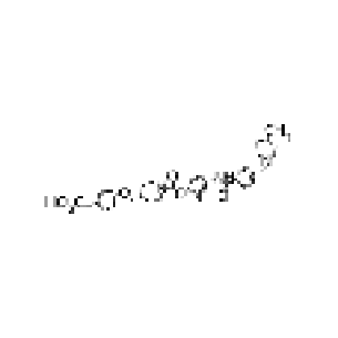 CC1CCN(Cc2ccc(C(=O)Nc3ccc(OC(=O)N4CCC(COc5ccc(CC(=O)O)cc5)CC4)nc3)cc2)CC1